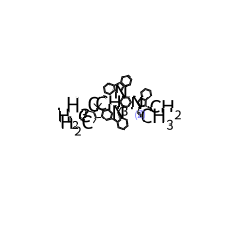 C=CC1=C(C=C)C(C)(C)c2cc3c(cc21)c1ccccc1n3-c1cc(-n2c(/C=C\C)c(C=C)c3ccccc32)cc(-n2c3ccccc3c3ccccc32)c1